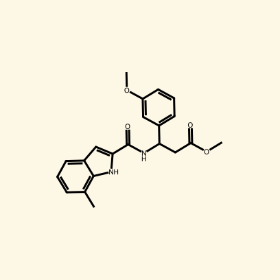 COC(=O)CC(NC(=O)c1cc2cccc(C)c2[nH]1)c1cccc(OC)c1